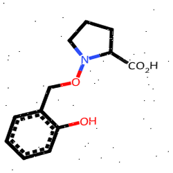 O=C(O)C1CCCN1OCc1ccccc1O